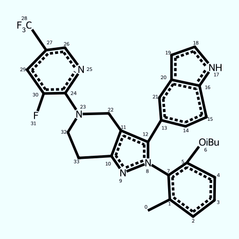 Cc1cccc(OCC(C)C)c1-n1nc2c(c1-c1ccc3[nH]ccc3c1)CN(c1ncc(C(F)(F)F)cc1F)CC2